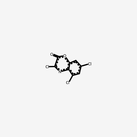 O=c1oc2cc(Cl)cc(Cl)c2nc1Cl